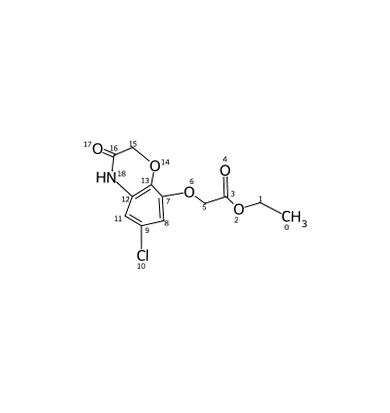 CCOC(=O)COc1cc(Cl)cc2c1OCC(=O)N2